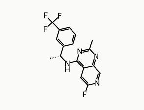 Cc1nc(N[C@H](C)c2cccc(C(F)(F)F)c2)c2cc(F)ncc2n1